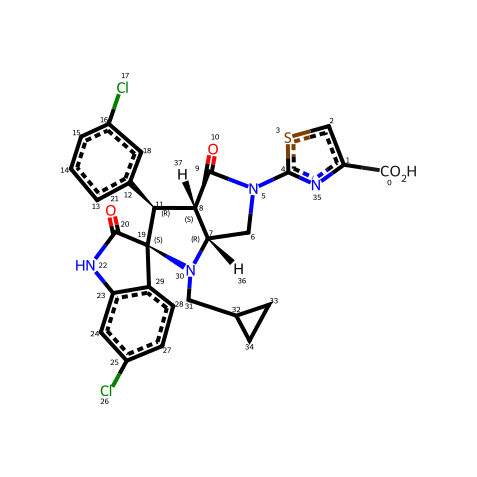 O=C(O)c1csc(N2C[C@H]3[C@@H](C2=O)[C@H](c2cccc(Cl)c2)[C@]2(C(=O)Nc4cc(Cl)ccc42)N3CC2CC2)n1